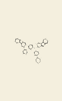 c1ccc(-c2ccc(N(c3ccc(-c4cc5sc6ccccc6c5cc4-c4ccccc4)cc3)c3ccc4c(c3)oc3ccccc34)cc2)cc1